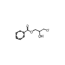 O=C(OCC(O)CCl)c1ccccc1